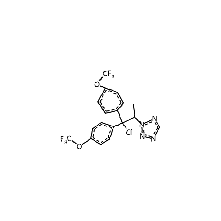 CC(n1ncnn1)C(Cl)(c1ccc(OC(F)(F)F)cc1)c1ccc(OC(F)(F)F)cc1